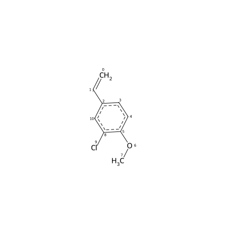 C=[C]c1ccc(OC)c(Cl)c1